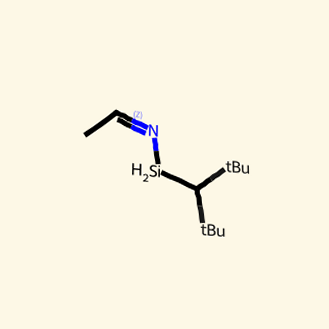 C/C=N\[SiH2]C(C(C)(C)C)C(C)(C)C